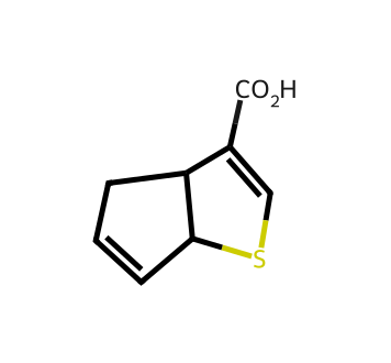 O=C(O)C1=CSC2C=CCC12